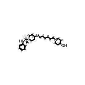 O=S(=O)(Nc1ccccc1)N1CCC(OCCCCCCN2CCC(O)CC2)CC1